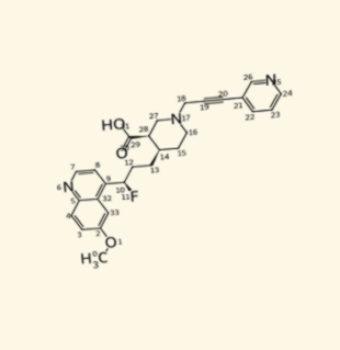 COc1ccc2nccc([C@H](F)CC[C@@H]3CCN(CC#Cc4cccnc4)C[C@@H]3C(=O)O)c2c1